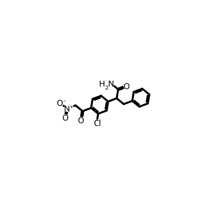 NC(=O)C(Cc1ccccc1)c1ccc(C(=O)C[N+](=O)[O-])c(Cl)c1